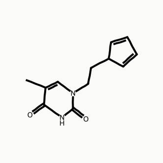 Cc1cn(CCC2C=CC=C2)c(=O)[nH]c1=O